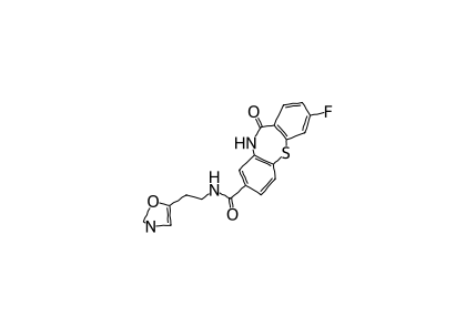 O=C(NCCc1cnco1)c1ccc2c(c1)NC(=O)c1ccc(F)cc1S2